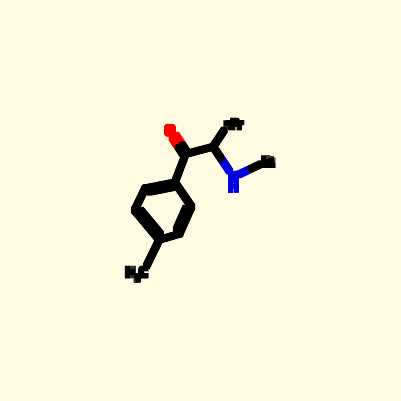 CCCC(NCC)C(=O)c1ccc(C)cc1